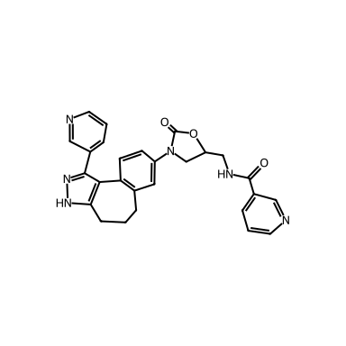 O=C(NCC1CN(c2ccc3c(c2)CCCc2[nH]nc(-c4cccnc4)c2-3)C(=O)O1)c1cccnc1